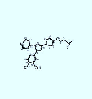 CN(C)CCOc1ccc(-c2cc(-c3ccc(Cl)c(O)c3)c(-c3ccncc3)o2)cc1